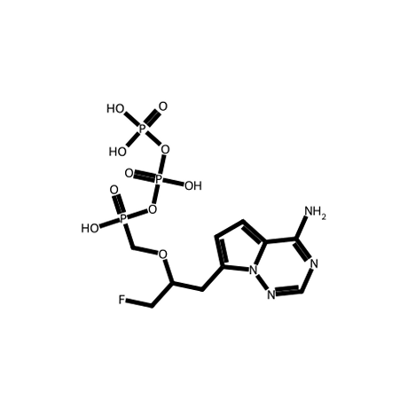 Nc1ncnn2c(CC(CF)OCP(=O)(O)OP(=O)(O)OP(=O)(O)O)ccc12